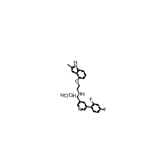 Cc1cc2c(OCCNCc3cncc(-c4ccc(F)cc4F)c3)cccc2[nH]1.Cl.Cl